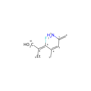 C=C(N)/C=C(C)\C(F)=C(/CC)C(=O)O